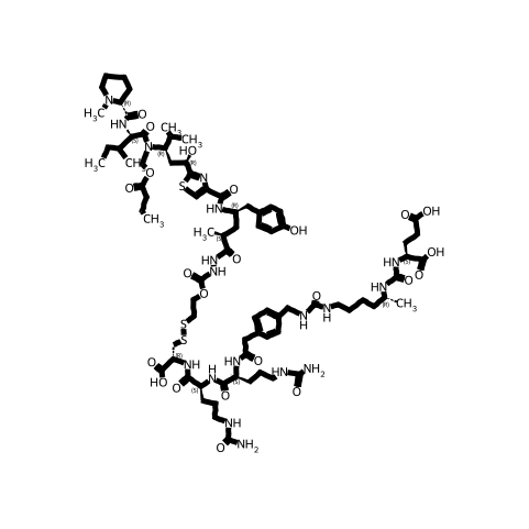 CCCC(=O)OCN(C(=O)[C@@H](NC(=O)[C@H]1CCCCN1C)C(C)CC)[C@H](C[C@@H](O)c1nc(C(=O)N[C@@H](Cc2ccc(O)cc2)C[C@H](C)C(=O)NNC(=O)OCCSSC[C@H](NC(=O)[C@H](CCCNC(N)=O)NC(=O)[C@H](CCCNC(N)=O)NC(=O)Cc2ccc(CNC(=O)NCCCC[C@@H](C)NC(=O)N[C@@H](CCC(=O)O)C(=O)O)cc2)C(=O)O)cs1)C(C)C